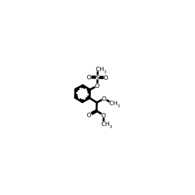 COC(=O)C(OC)c1ccccc1OS(C)(=O)=O